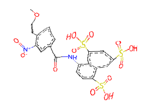 COCc1ccc(C(=O)Nc2ccc(S(=O)(=O)O)c3cc(S(=O)(=O)O)cc(S(=O)(=O)O)c23)cc1[N+](=O)[O-]